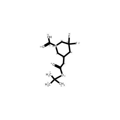 CC(C)(C)OC(=O)CC1CN(C(=O)O)CC(F)(F)C1